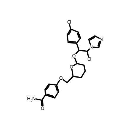 NC(=O)c1ccc(OCC2CCCC(OC(c3ccc(Cl)cc3)C(Cl)n3ccnc3)O2)cc1